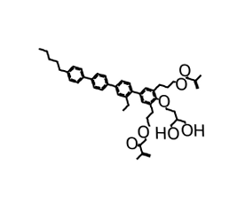 C=C(C)C(=O)COCCCc1cc(-c2ccc(-c3ccc(-c4ccc(CCCCC)cc4)cc3)cc2CC)cc(CCCOC(=O)C(=C)C)c1OCCC(CO)CO